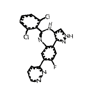 Fc1cc2c(cc1-c1cccnn1)N=C(c1c(Cl)cccc1Cl)Nc1c[nH]nc1-2